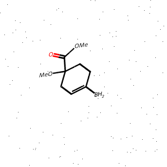 BC1=CCC(OC)(C(=O)OC)CC1